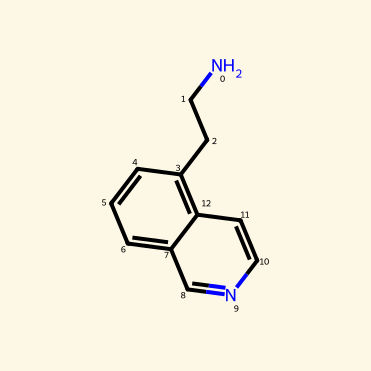 NCCc1cccc2cnccc12